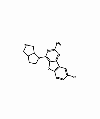 Nc1nc(N2CCC3CNCC32)c2oc3ccc(Cl)cc3c2n1